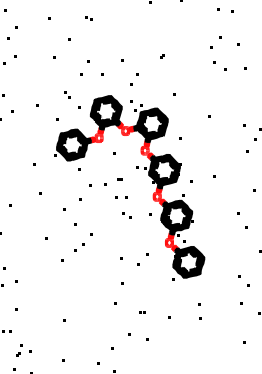 c1ccc(Oc2cccc(Oc3cccc(Oc4ccccc4Oc4ccccc4Oc4ccccc4)c3)c2)cc1